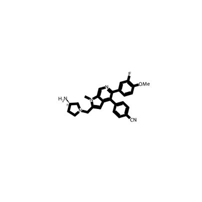 COc1ccc(-c2ncc3c(cc(CN4CC[C@H](N)C4)n3C)c2-c2ccc(C#N)cc2)cc1F